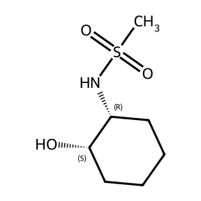 CS(=O)(=O)N[C@@H]1CCCC[C@@H]1O